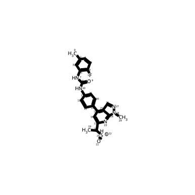 Cc1ccc(F)c(NC(=O)Nc2ccc(-c3cc(C(C)[SH](=O)=O)nc4c3cnn4C)cc2)c1